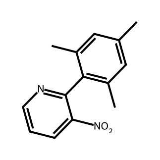 Cc1cc(C)c(-c2ncccc2[N+](=O)[O-])c(C)c1